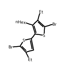 CCCCCCc1c(-c2cc(CC)c(Br)s2)sc(Br)c1CC